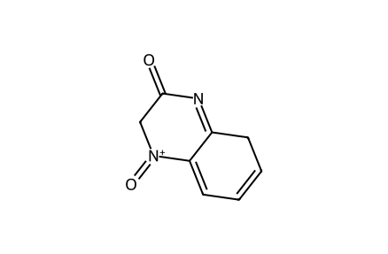 O=C1C[N+](=O)C2=CC=CCC2=N1